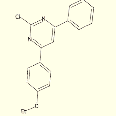 CCOc1ccc(-c2cc(-c3ccccc3)nc(Cl)n2)cc1